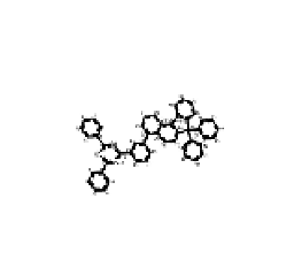 c1ccc(-c2nc(-c3ccccc3)nc(-c3cccc(-c4cccc5c6c(ccc45)C(c4ccccc4)(c4ccccc4)c4ccccc4-6)c3)n2)cc1